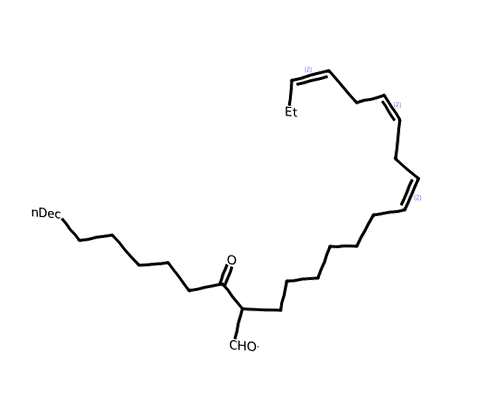 CC/C=C\C/C=C\C/C=C\CCCCCCC([C]=O)C(=O)CCCCCCCCCCCCCCC